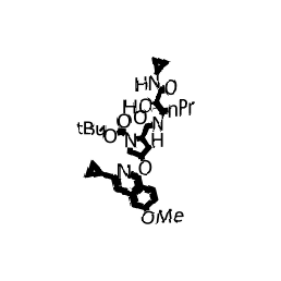 CCCC(NC(=O)C1CC(Oc2nc(C3CC3)cc3cc(OC)ccc23)CN1C(=O)OC(C)(C)C)[C@H](O)C(=O)NC1CC1